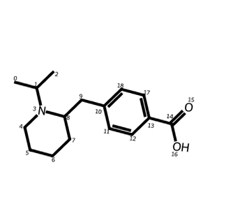 CC(C)N1CCCCC1Cc1ccc(C(=O)O)cc1